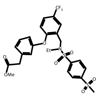 CCN(Cc1cc(C(F)(F)F)ccc1Oc1cccc(CC(=O)OC)c1)S(=O)(=O)c1ccc(S(C)(=O)=O)cc1